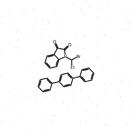 CCC(Br)N1C(=O)C(=O)c2ccccc21.c1ccc(-c2ccc(-c3ccccc3)cc2)cc1